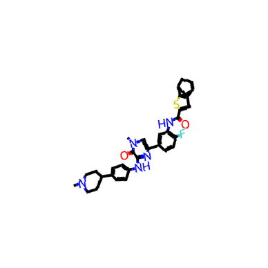 CN1CCC(c2ccc(Nc3nc(-c4ccc(F)c(NC(=O)c5cc6c(s5)C5CCC6C5)c4)cn(C)c3=O)cc2)CC1